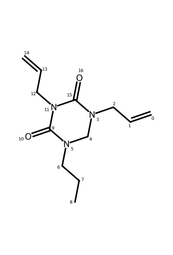 C=CCN1CN(CCC)C(=O)N(CC=C)C1=O